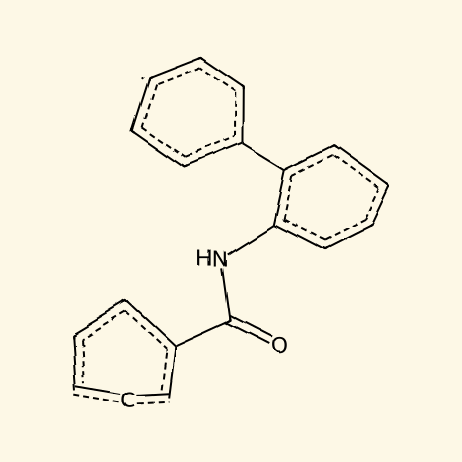 O=C(Nc1ccccc1-c1cc[c]cc1)c1ccccc1